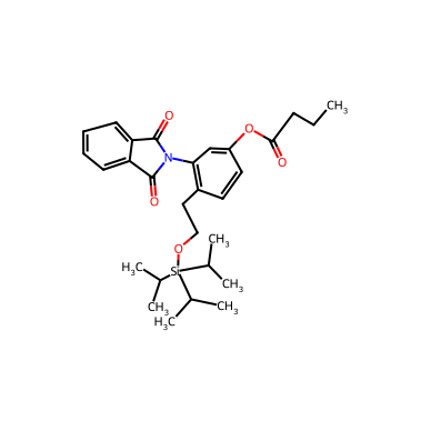 CCCC(=O)Oc1ccc(CCO[Si](C(C)C)(C(C)C)C(C)C)c(N2C(=O)c3ccccc3C2=O)c1